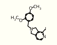 COc1ccc(CN2Cc3ccnc(I)c3C2)c(OC)c1